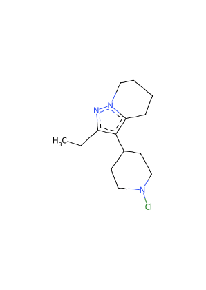 CCc1nn2c(c1C1CCN(Cl)CC1)CCCC2